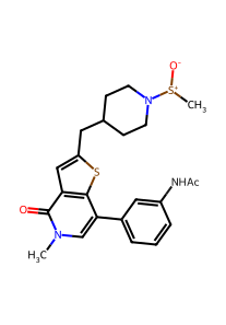 CC(=O)Nc1cccc(-c2cn(C)c(=O)c3cc(CC4CCN([S+](C)[O-])CC4)sc23)c1